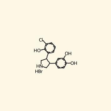 Br.Oc1ccc(C2CNCC2c2cccc(Cl)c2O)cc1O